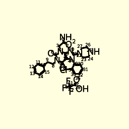 NC(=O)Cn1c(=O)n(CCc2ccccc2)c(=O)c2c1nc(N1CCNCC1)n2-c1ccccc1Cl.O=C(O)C(F)(F)F